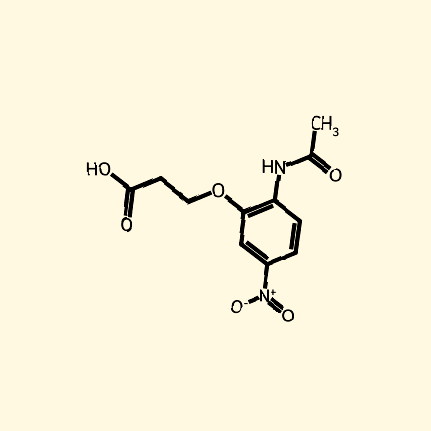 CC(=O)Nc1ccc([N+](=O)[O-])cc1OCCC(=O)O